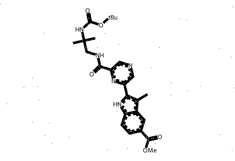 COC(=O)c1ccc2[nH]c(-c3cncc(C(=O)NCC(C)(C)NC(=O)OC(C)(C)C)n3)c(C)c2c1